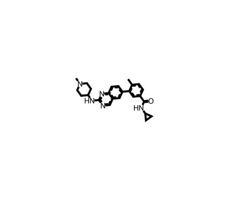 Cc1ccc(C(=O)NC2CC2)cc1-c1ccc2nc(NC3CCN(C)CC3)ncc2c1